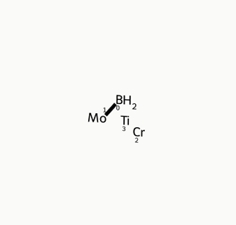 [BH2][Mo].[Cr].[Ti]